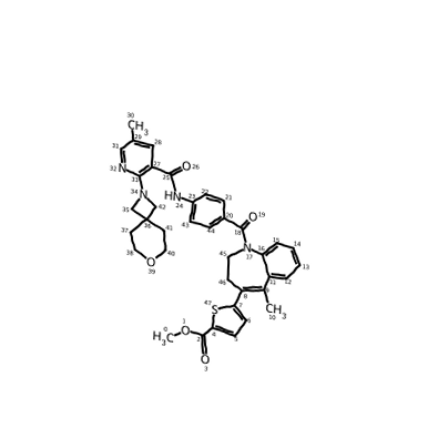 COC(=O)c1ccc(C2=C(C)c3ccccc3N(C(=O)c3ccc(NC(=O)c4cc(C)cnc4N4CC5(CCOCC5)C4)cc3)CC2)s1